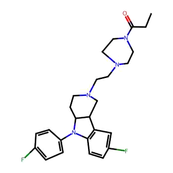 CCC(=O)N1CCN(CCN2CCC3C(C2)c2cc(F)ccc2N3c2ccc(F)cc2)CC1